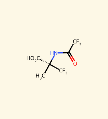 C[C@](NC(=O)C(F)(F)F)(C(=O)O)C(F)(F)F